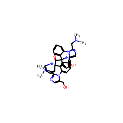 CN(C)Cc1ncc(CO)n1-c1ccccc1C1(C(=O)C2(c3ccccc3-n3c(CO)cnc3CN(C)C)C=CC=CN2)C=CC=CN1